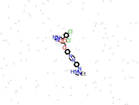 CCN1CCN/C1=N\c1ccc(N2CCN(c3ccc(OCC4COC(Cn5cncn5)(c5ccc(Cl)cc5Cl)O4)cc3)CC2)cc1